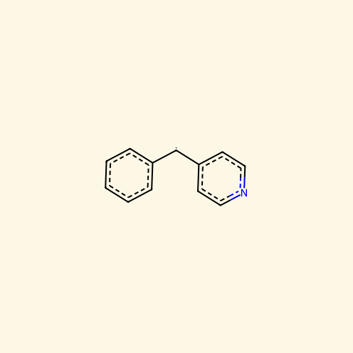 [CH](c1ccccc1)c1ccncc1